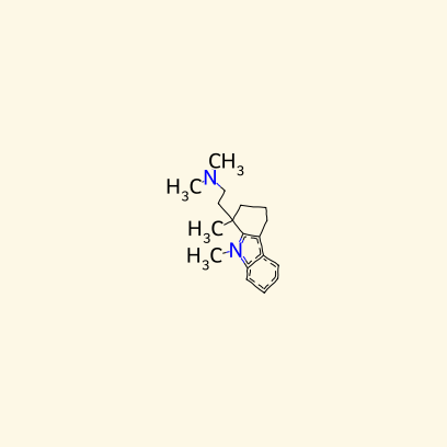 CN(C)CCC1(C)CCCc2c1n(C)c1ccccc21